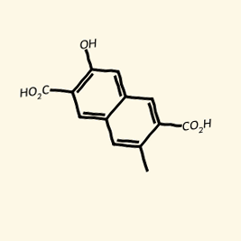 Cc1cc2cc(C(=O)O)c(O)cc2cc1C(=O)O